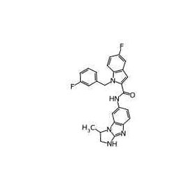 CC1CNc2nc3ccc(NC(=O)c4cc5cc(F)ccc5n4Cc4cccc(F)c4)cc3n21